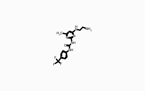 Cc1cc(NCCN)nc(NC(=O)Nc2ccc(C(F)(F)F)cc2)n1